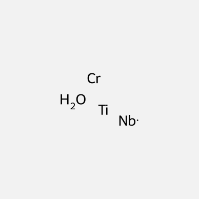 O.[Cr].[Nb].[Ti]